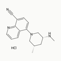 CN[C@@H]1C[C@H](C)CN(c2ccc(C#N)c3ncccc23)C1.Cl